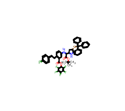 CC(C)(C)OC(=O)C(Nc1ccc(CCc2ccc(F)cc2)c(C(=O)Oc2c(F)c(F)c(F)c(F)c2F)c1)C1CC(SC(c2ccccc2)(c2ccccc2)c2ccccc2)CN1